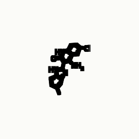 Cc1ccc2[nH]c(-c3c(N)c4cc(Cl)ccc4[nH]c3=O)nc2c1